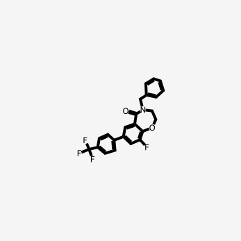 O=C1c2cc(-c3ccc(C(F)(F)F)cc3)cc(F)c2OCCN1Cc1ccccc1